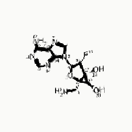 NC[C@]12O[C@@H](n3cnc4c(N)ncnc43)[C@H](F)[C@@]1(O)C2O